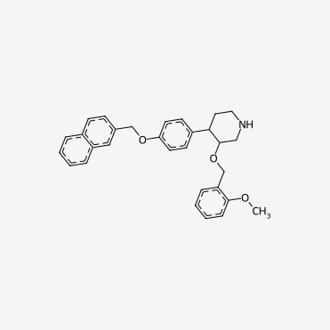 COc1ccccc1COC1CNCCC1c1ccc(OCc2ccc3ccccc3c2)cc1